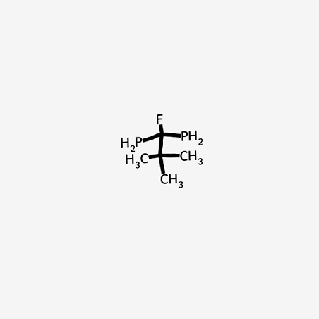 CC(C)(C)C(F)(P)P